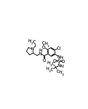 CCN1CCCC1CNC(=O)c1cc(NS(=O)(=O)NC(C)(C)C)c(Cl)cc1OC